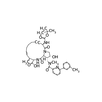 Cc1cccc(-c2cccc(C(=O)N(C)C[C@@H]3[C@H]4C(=O)NC(C(=O)O)[C@@H](C)/C=C\CCCCC[C@@H](NC(=O)OC(C)(C)C)C(=O)N4C[C@@H]3O)n2)c1